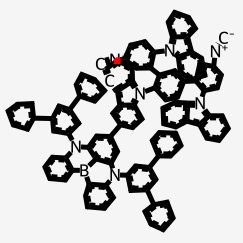 [C-]#[N+]c1ccc(-n2c3ccccc3c3ccccc32)c(-c2ccc(-n3c4ccccc4c4cc(-c5cc6c7c(c5)N(c5cc(-c8ccccc8)cc(-c8ccccc8)c5)c5ccccc5B7c5ccccc5N6c5cc(-c6ccccc6)cc(-c6ccccc6)c5)ccc43)c(-c3cc([N+]#[C-])ccc3-n3c4ccccc4c4ccccc43)c2)c1